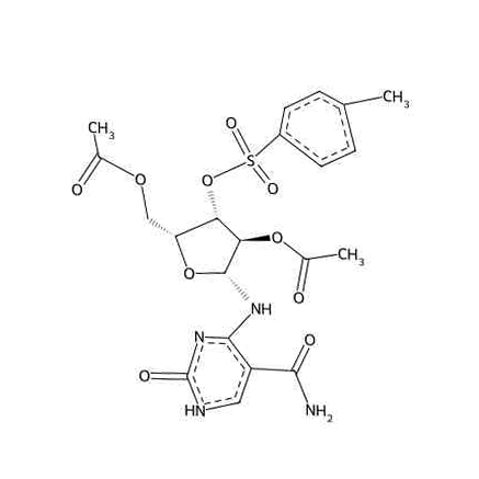 CC(=O)OC[C@H]1O[C@@H](Nc2nc(=O)[nH]cc2C(N)=O)[C@H](OC(C)=O)[C@H]1OS(=O)(=O)c1ccc(C)cc1